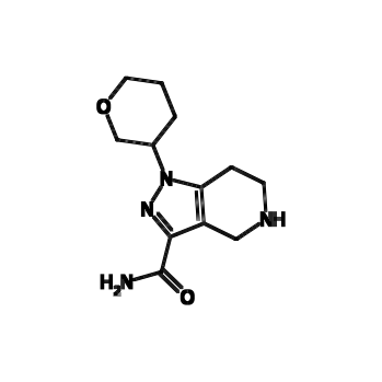 NC(=O)c1nn(C2CCCOC2)c2c1CNCC2